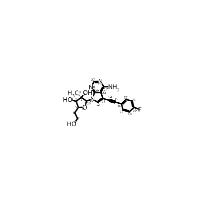 C[C@@]1(O)C(O)C(CCO)OC1n1cc(C#Cc2ccc(F)cc2)c2c(N)ncnc21